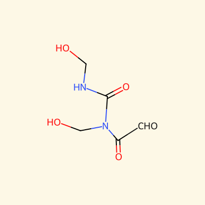 O=CC(=O)N(CO)C(=O)NCO